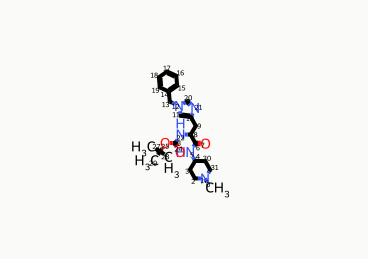 CN1CCC(NC(=O)C(Cc2cn(Cc3ccccc3)cn2)NC(=O)OC(C)(C)C)CC1